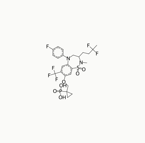 CN1C(CCC(C)(F)F)CN(c2ccc(F)cc2)c2cc(C(F)(F)F)c(OCC3(P(=O)(O)O)CC3)cc2S1(=O)=O